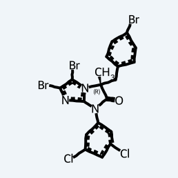 C[C@@]1(Cc2ccc(Br)cc2)C(=O)N(c2cc(Cl)cc(Cl)c2)c2nc(Br)c(Br)n21